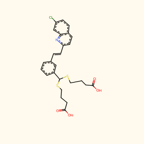 O=C(O)CCCSC(SCCCC(=O)O)c1cccc(C=Cc2ccc3ccc(Cl)cc3n2)c1